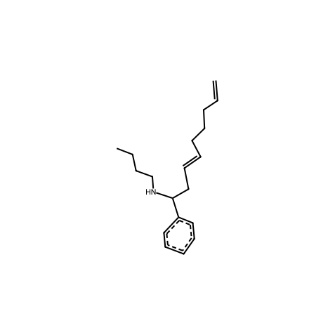 C=CCCC/C=C/CC(NCCCC)c1ccccc1